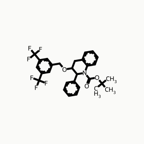 CC(C)(C)OC(=O)N1c2ccccc2CC(OCc2cc(C(F)(F)F)cc(C(F)(F)F)c2)C1c1ccccc1